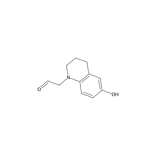 O=CCN1CCCc2cc(O)ccc21